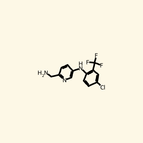 NCc1ccc(Nc2ccc(Cl)cc2C(F)(F)F)cn1